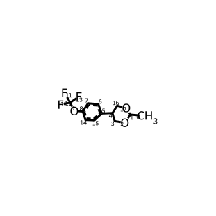 CC1OCC(c2ccc(OC(F)(F)F)cc2)CO1